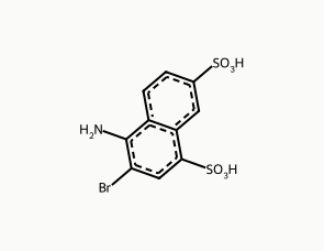 Nc1c(Br)cc(S(=O)(=O)O)c2cc(S(=O)(=O)O)ccc12